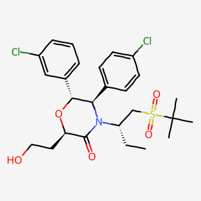 CC[C@@H](CS(=O)(=O)C(C)(C)C)N1C(=O)[C@@H](CCO)O[C@H](c2cccc(Cl)c2)[C@H]1c1ccc(Cl)cc1